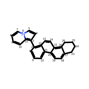 c1cc(-c2ccn3ccccc23)c2ccc3c4c(ccc3c2c1)CCCC4